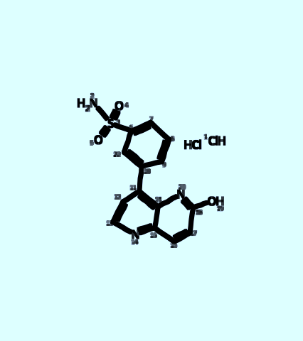 Cl.Cl.NS(=O)(=O)c1cccc(-c2ccnc3ccc(O)nc23)c1